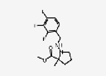 COC(=O)C1(C)CCCN1NCc1ccc(I)c(F)c1F